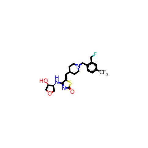 O=C1N=C(N[C@@H]2COC[C@H]2O)/C(=C/C2CCN(Cc3ccc(C(F)(F)F)cc3CF)CC2)S1